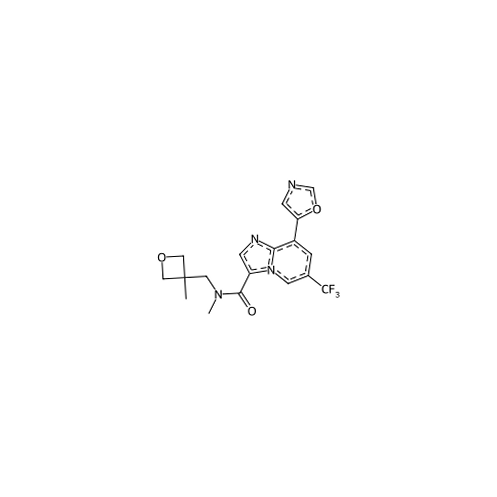 CN(CC1(C)COC1)C(=O)c1cnc2c(-c3cnco3)cc(C(F)(F)F)cn12